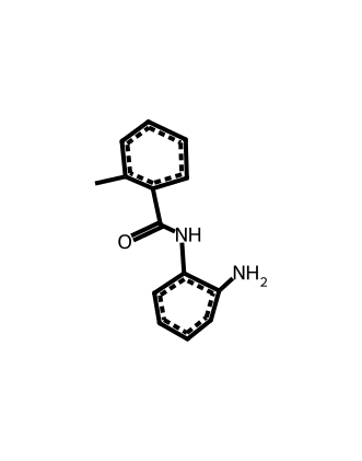 Cc1ccccc1C(=O)Nc1ccccc1N